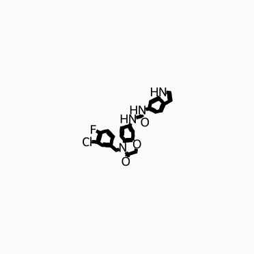 O=C(Nc1ccc2c(c1)OCC(=O)N2Cc1ccc(F)c(Cl)c1)Nc1ccc2cc[nH]c2c1